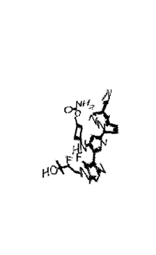 CC(C)(O)C(F)Cn1nnc(-c2cnc(-c3ccc4cc(C#N)cnn34)cc2NC2CC(COC(N)=O)C2)c1F